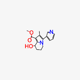 COC(=O)c1c(C)c(-c2cccnc2)n2c1C(O)CCC2